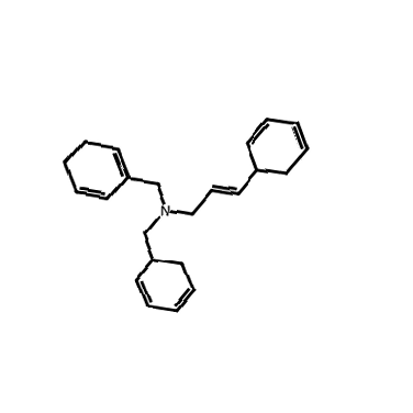 C1=CCC(/C=C/CN(CC2=CCCC=C2)CC2C=CC=CC2)C=C1